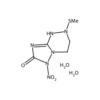 CSN1CCn2c(nc(=O)n2[N+](=O)[O-])N1.O.O